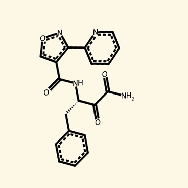 NC(=O)C(=O)[C@H](Cc1ccccc1)NC(=O)c1conc1-c1ccccn1